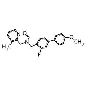 COc1ccc(-c2ccc(CN(C=O)Cc3ncccc3C)c(F)c2)cc1